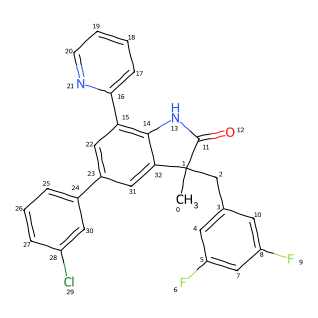 CC1(Cc2cc(F)cc(F)c2)C(=O)Nc2c(-c3ccccn3)cc(-c3cccc(Cl)c3)cc21